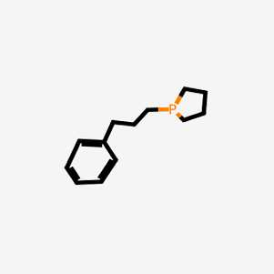 c1ccc(CCCP2CCCC2)cc1